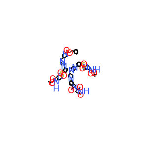 CC(C)(C)OC(=O)NC1CCN(S(=O)(=O)c2cccc(N3CCN(CC4CCN(C(=O)OCc5ccccc5)CC4)CC3)c2)CC1.CC(C)(C)OC(=O)NC1CCN(S(=O)(=O)c2cccc(N3CCN(CC4CCN(c5ccc6c(c5)CN(C5CCC(=O)NC5=O)C6=O)CC4)CC3)c2)CC1